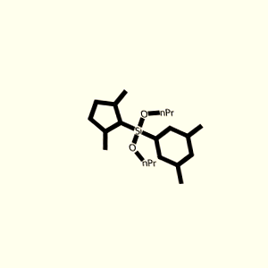 CCCO[Si](OCCC)(C1CC(C)CC(C)C1)C1C(C)CCC1C